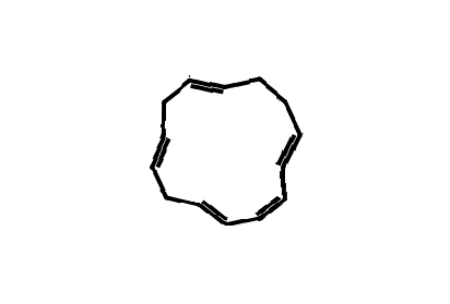 [C]1=C/CC/C=C/C=C\C=C\C/C=C/C/1